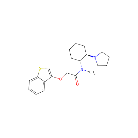 CN(C(=O)COc1csc2ccccc12)[C@@H]1CCCC[C@H]1N1CCCC1